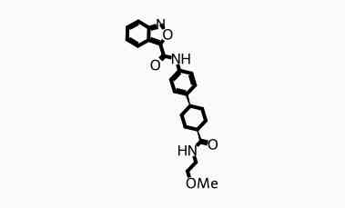 COCCNC(=O)[C@H]1CC[C@@H](c2ccc(NC(=O)c3onc4ccccc34)cc2)CC1